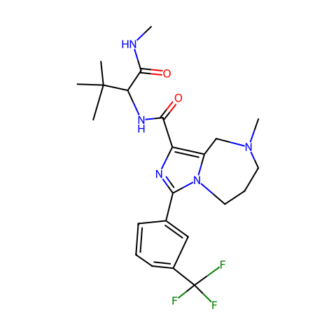 CNC(=O)C(NC(=O)c1nc(-c2cccc(C(F)(F)F)c2)n2c1CN(C)CCC2)C(C)(C)C